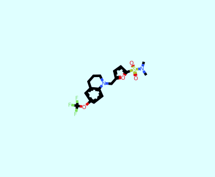 CN(C)S(=O)(=O)c1ccc(CN2CCCc3cc(OC(F)(F)F)ccc32)o1